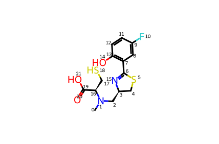 CN(C[C@@H]1CSC(c2cc(F)ccc2O)=N1)[C@H](CS)C(=O)O